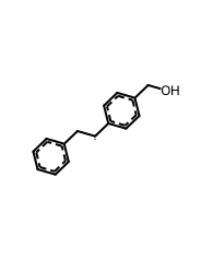 OCc1ccc([CH]Cc2ccccc2)cc1